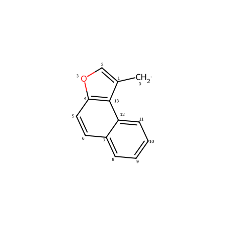 [CH2]c1coc2ccc3ccccc3c12